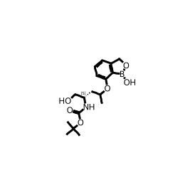 CC(C[C@@H](CO)NC(=O)OC(C)(C)C)Oc1cccc2c1B(O)OC2